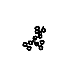 CC1C=C(n2c3cccc(-c4cccc(N(c5ccc(-c6ccccc6-c6ccccc6)cc5)c5ccc(-c6ccccc6-c6ccccc6)cc5)c4)c3c3ccc4ccccc4c32)C=CC1